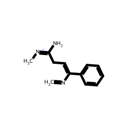 C=NC(=CC/C(N)=N\C)c1ccccc1